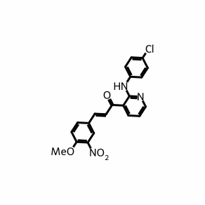 COc1ccc(C=CC(=O)c2cccnc2Nc2ccc(Cl)cc2)cc1[N+](=O)[O-]